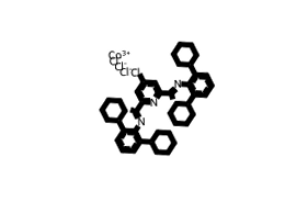 CC(=Nc1c(C2CCCCC2)cccc1C1CCCCC1)c1cc(Cl)cc(C(C)=Nc2c(C3CCCCC3)cccc2C2CCCCC2)n1.[Cl-].[Cl-].[Cl-].[Co+3]